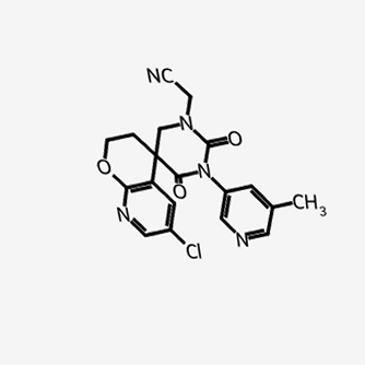 Cc1cncc(N2C(=O)N(CC#N)CC3(CCOc4ncc(Cl)cc43)C2=O)c1